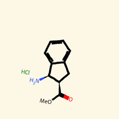 COC(=O)[C@@H]1Cc2ccccc2[C@@H]1N.Cl